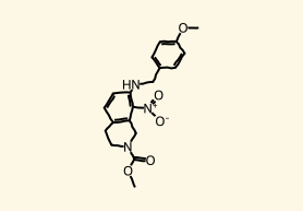 COC(=O)N1CCc2ccc(NCc3ccc(OC)cc3)c([N+](=O)[O-])c2C1